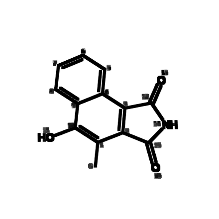 Cc1c2c(c3ccccc3c1O)C(=O)NC2=O